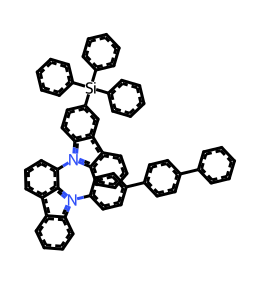 c1ccc(-c2ccc(-c3ccc(-n4c5ccccc5c5cccc(-n6c7ccccc7c7cc([Si](c8ccccc8)(c8ccccc8)c8ccccc8)ccc76)c54)cc3)cc2)cc1